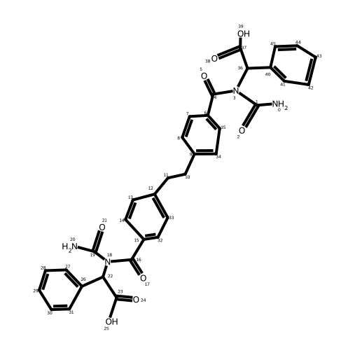 NC(=O)N(C(=O)c1ccc(CCc2ccc(C(=O)N(C(N)=O)C(C(=O)O)c3ccccc3)cc2)cc1)C(C(=O)O)c1ccccc1